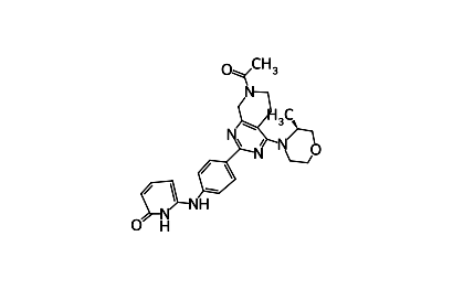 CC(=O)N1CCc2c(nc(-c3ccc(Nc4cccc(=O)[nH]4)cc3)nc2N2CCOC[C@@H]2C)C1